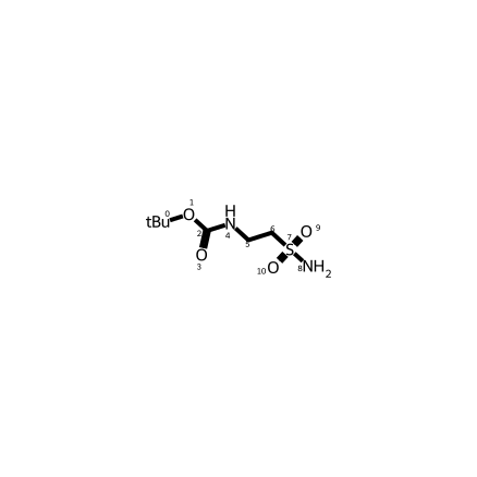 CC(C)(C)OC(=O)NCCS(N)(=O)=O